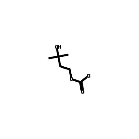 CC(C)(O)CCOC(=O)Cl